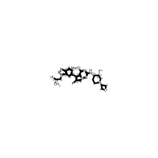 COc1nc(N[C@H]2CCN(C3COC3)C[C@H]2F)nn2cc(F)c(-c3ccc4nnn(C[C@H](C)F)c4c3)c12